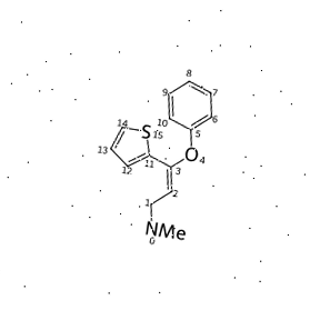 CNCC=C(Oc1ccccc1)c1cccs1